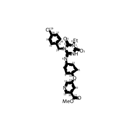 CCn1c(=O)[nH]/c(=N\c2ccc(Oc3cncc(C(=O)OC)c3)cc2)n(Cc2ccc(Cl)cc2)c1=O